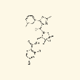 Cc1cccc(-c2sc(C)nc2C(=O)N2C[C@@H]3C[C@@H]3[C@H]2CNC(=O)c2ccc(Cl)cc2Cl)c1